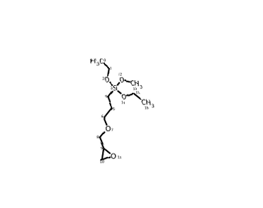 CCO[Si](CCCOCC1CO1)(OC)OCC